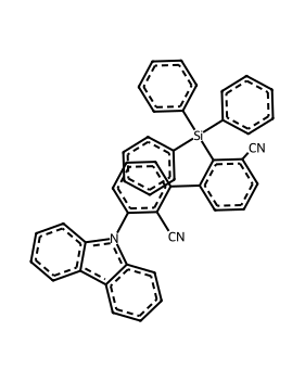 N#Cc1cccc(-c2cccc(-n3c4ccccc4c4ccccc43)c2C#N)c1[Si](c1ccccc1)(c1ccccc1)c1ccccc1